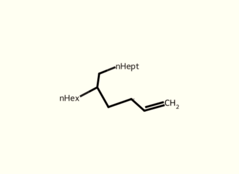 C=C[CH]CC(CCCCCC)CCCCCCCC